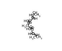 CC(COP(=O)(O)OCC1C[C@H](NC(C)C)CN1)COP(=O)(O)OCC1C[C@@H](NC(C)C)CN1